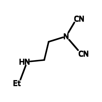 CCNCCN(C#N)C#N